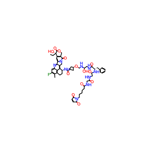 CC[C@@]1(O)C(=O)OCc2c1cc1n(c2=O)Cc2c-1nc1cc(F)c(C)c3c1c2[C@@H](NC(=O)[C@H]1C[C@H](OCNC(O)CNC(=O)[C@H](Cc2ccccc2)NC(=O)CNC(=O)CNC(=O)CCCCCN2C(=O)C=CC2=O)C1)CC3